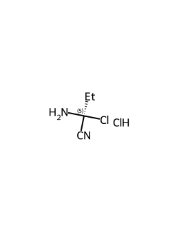 CC[C@](N)(Cl)C#N.Cl